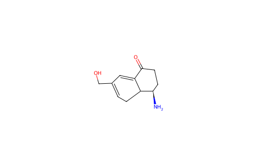 N[C@@H]1CCC(=O)C2=CC(CO)=CCC21